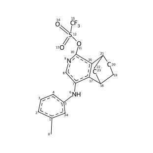 Cc1cccc(Nc2cnc(OS(=O)(=O)C(F)(F)F)c3c2C2CCC3CC2)c1